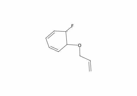 C=CCOC1C=CC=C[C]1F